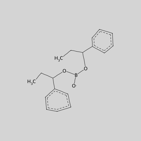 CCC(OB([O])OC(CC)c1ccccc1)c1ccccc1